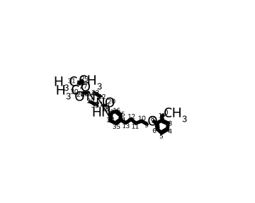 CCc1ccccc1OCCCCCc1ccc(NC(=O)N2CCN(C(=O)OC(C)(C)C)CC2)cc1